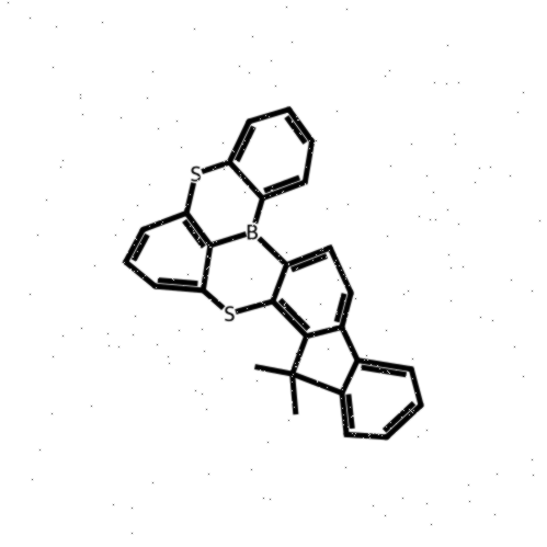 CC1(C)c2ccccc2-c2ccc3c(c21)Sc1cccc2c1B3c1ccccc1S2